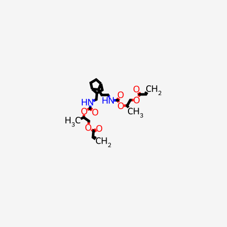 C=CC(=O)OCC(C)OC(=O)NCCC1C2CCC1C(CNC(=O)OC(C)COC(=O)C=C)C2